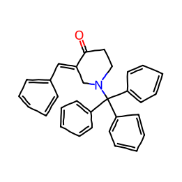 O=C1CCN(C(c2ccccc2)(c2ccccc2)c2ccccc2)C/C1=C\c1ccccc1